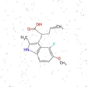 C=CCC(C(=O)O)c1c(C)[nH]c2ccc(OC)c(F)c12